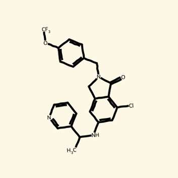 CC(Nc1cc(Cl)c2c(c1)CN(Cc1ccc(OC(F)(F)F)cc1)C2=O)c1cccnc1